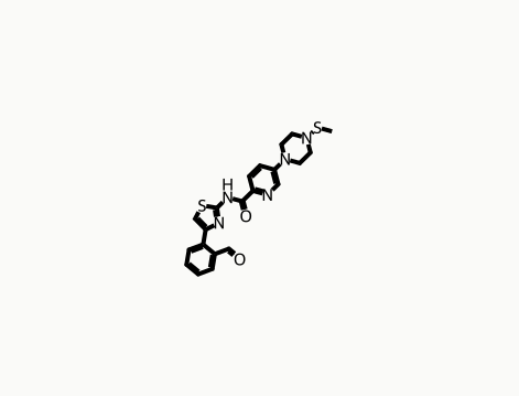 CSN1CCN(c2ccc(C(=O)Nc3nc(-c4ccccc4C=O)cs3)nc2)CC1